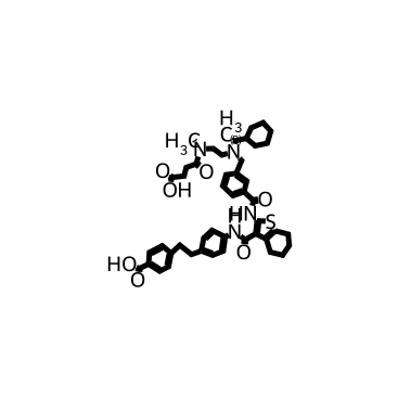 C[C@H](C1CCCCC1)N(CCN(C)C(=O)CCC(=O)O)Cc1cccc(C(=O)Nc2sc3c(c2C(=O)Nc2ccc(CCc4ccc(C(=O)O)cc4)cc2)CCCC3)c1